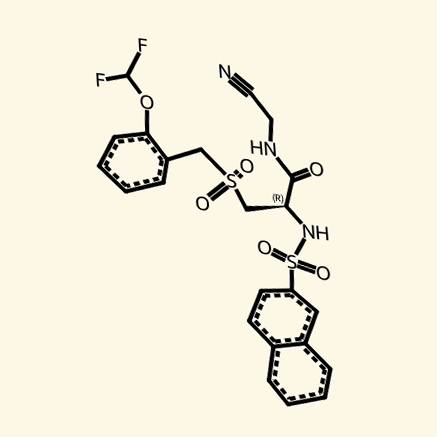 N#CCNC(=O)[C@H](CS(=O)(=O)Cc1ccccc1OC(F)F)NS(=O)(=O)c1ccc2ccccc2c1